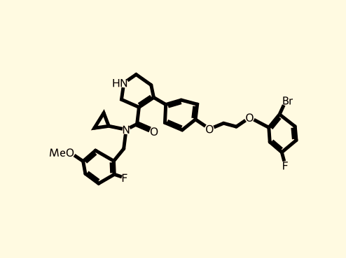 COc1ccc(F)c(CN(C(=O)C2=C(c3ccc(OCCOc4cc(F)ccc4Br)cc3)CCNC2)C2CC2)c1